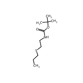 CCCSCCNC(=O)OC(C)(C)C